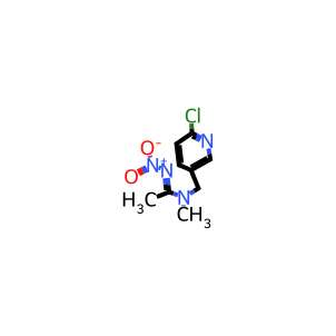 CC(=N[N+](=O)[O-])N(C)Cc1ccc(Cl)nc1